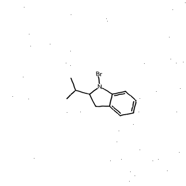 CC(C)C1Cc2ccccc2N1Br